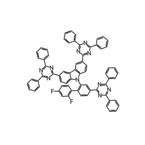 Fc1ccc(-c2ccc(-c3nc(-c4ccccc4)nc(-c4ccccc4)n3)cc2-n2c3ccc(-c4nc(-c5ccccc5)nc(-c5ccccc5)n4)cc3c3cc(-c4nc(-c5ccccc5)nc(-c5ccccc5)n4)ccc32)c(F)c1